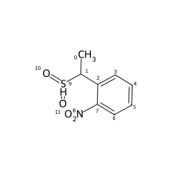 CC(c1ccccc1[N+](=O)[O-])[SH](=O)=O